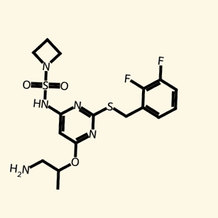 CC(CN)Oc1cc(NS(=O)(=O)N2CCC2)nc(SCc2cccc(F)c2F)n1